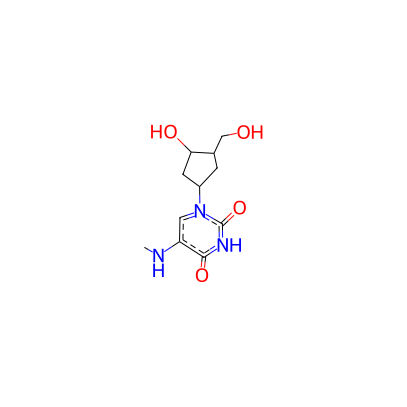 CNc1cn(C2CC(O)C(CO)C2)c(=O)[nH]c1=O